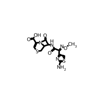 CON=C(C(=O)NC1C(=O)N2C(C(=O)O)=CSCC12)c1csc(N)n1